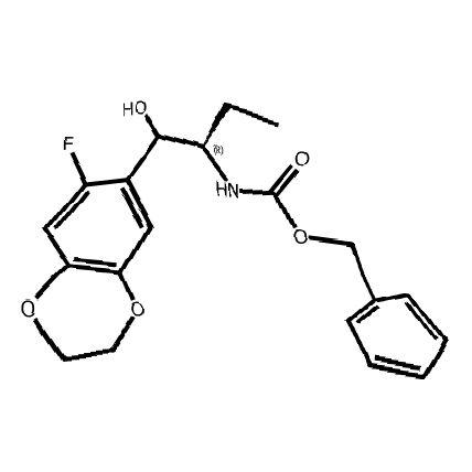 CC[C@@H](NC(=O)OCc1ccccc1)C(O)c1cc2c(cc1F)OCCO2